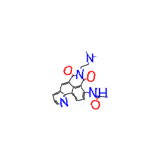 CC(=O)Nc1ccc2c3c(cc4cccnc42)C(=O)N(CCN(C)C)C(=O)c13